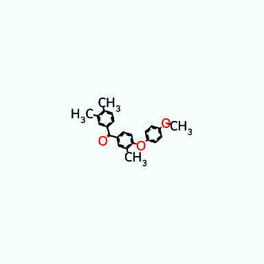 COc1ccc(Oc2ccc(C(=O)c3ccc(C)c(C)c3)cc2C)cc1